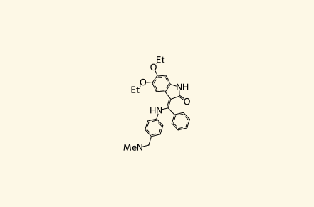 CCOc1cc2c(cc1OCC)C(=C(Nc1ccc(CNC)cc1)c1ccccc1)C(=O)N2